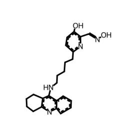 ON=Cc1nc(CCCCCNc2c3c(nc4ccccc24)CCCC3)ccc1O